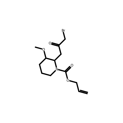 C=CCOC(=O)N1CCCC(OC)C1CC(=O)CBr